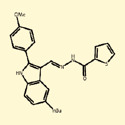 CCCCc1ccc2[nH]c(-c3ccc(OC)cc3)c(C=NNC(=O)c3cccs3)c2c1